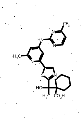 Cc1cc(Nc2nccc(C(F)(F)F)n2)cc(-c2cnc(C(C)(O)C3(C(=O)O)CCCCC3)s2)n1